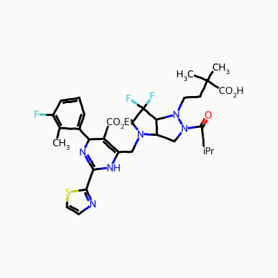 CCOC(=O)C1=C(CN2CC(F)(F)C3C2CN(C(=O)C(C)C)N3CCC(C)(C)C(=O)O)NC(c2nccs2)=NC1c1cccc(F)c1C